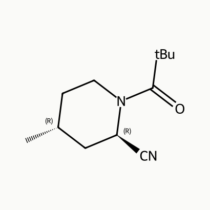 C[C@@H]1CCN(C(=O)C(C)(C)C)[C@@H](C#N)C1